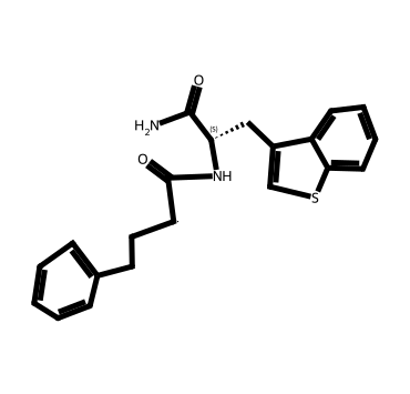 NC(=O)[C@H](Cc1csc2ccccc12)NC(=O)[CH]CCc1ccccc1